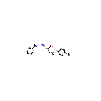 C=C(CC(S/C=N\N=C(/C)c1ccccc1)C(=O)NC)Nc1ccc(C(=C)O)cc1